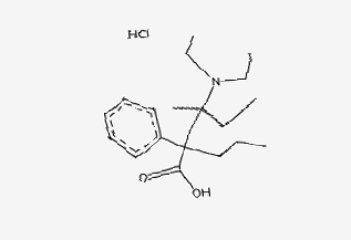 CCCC(C(=O)O)(c1ccccc1)C(C)(CC)N(CC)CC.Cl